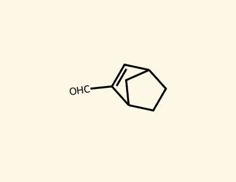 O=CC1=CC2CCC1C2